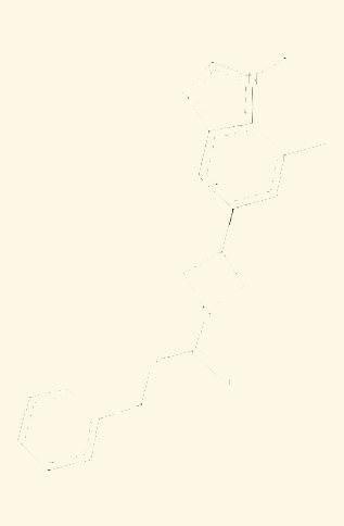 Cc1cc(C2CN(C(=O)OCc3ccccc3)C2)cc2ncn(C)c12